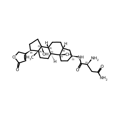 C[C@]12CC[C@H](NC(=O)[C@@H](N)CC(N)=O)C[C@H]1CC[C@@H]1[C@@H]2CC[C@]2(C)[C@@H](C3=CC(=O)OC3)CC[C@]12O